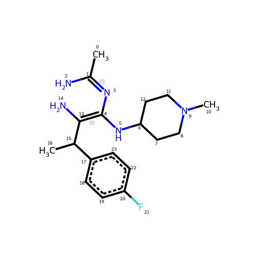 C/C(N)=N/C(NC1CCN(C)CC1)=C(\N)C(C)c1ccc(F)cc1